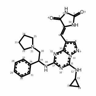 O=C1NC(=O)/C(=C/c2cnn3c(NC4CC4)nc(NC(CN4CCCC4)c4ccccc4)nc23)N1